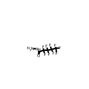 NNC(=O)C(F)(F)C(F)(F)C(F)(F)C(F)(F)F